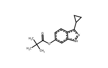 CC(C)(C)C(=O)Oc1ccc2c(C3CC3)n[nH]c2c1